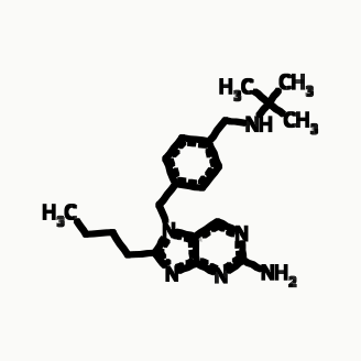 CCCCc1nc2nc(N)ncc2n1Cc1ccc(CNC(C)(C)C)cc1